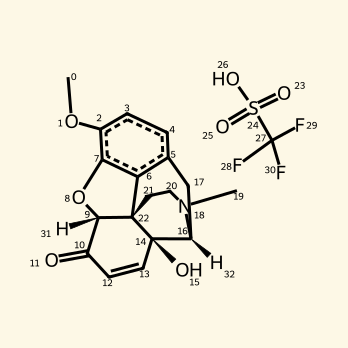 COc1ccc2c3c1O[C@H]1C(=O)C=C[C@@]4(O)[C@@H](C2)N(C)CC[C@]314.O=S(=O)(O)C(F)(F)F